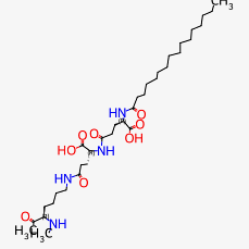 CCCCCCCCCCCCCCCC(=O)N[C@H](CCC(=O)N[C@H](CCC(=O)NCCCC[C@@H](NC)C(C)=O)C(=O)O)C(=O)O